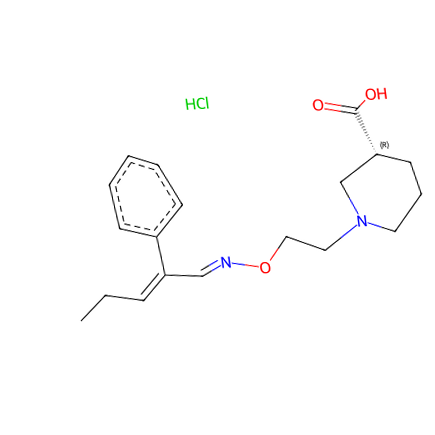 CCC=C(C=NOCCN1CCC[C@@H](C(=O)O)C1)c1ccccc1.Cl